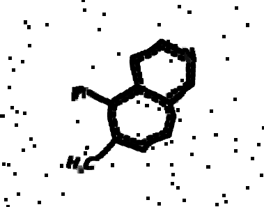 Cc1ccc2cnccc2c1C(C)C